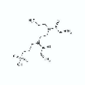 C=CC(=O)N(CCC)CCN(CCCS(=O)(=O)O)C(=O)C=C